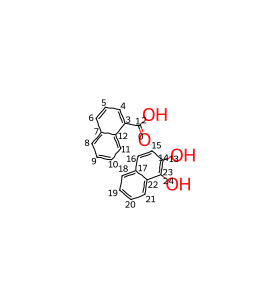 O=C(O)c1cccc2ccccc12.Oc1ccc2ccccc2c1O